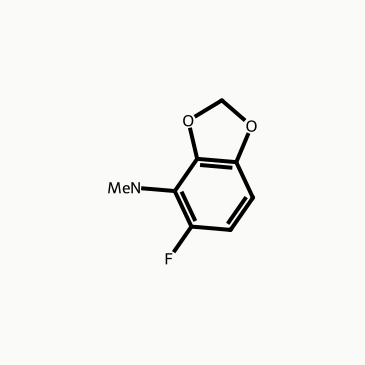 CNc1c(F)ccc2c1OCO2